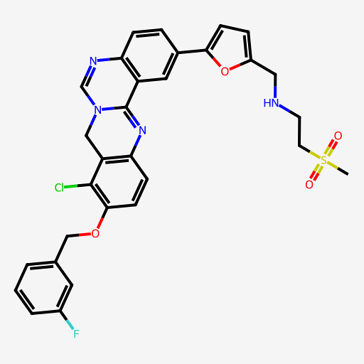 CS(=O)(=O)CCNCc1ccc(-c2ccc3c(c2)C2=Nc4ccc(OCc5cccc(F)c5)c(Cl)c4CN2C=N3)o1